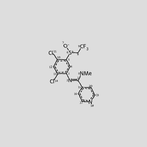 CN/C(=N\c1cc([S+]([O-])CC(F)(F)F)c(Cl)cc1Cl)c1ccncc1